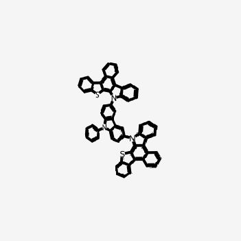 c1ccc(-n2c3ccc(-n4c5ccccc5c5c6ccccc6c6c7ccccc7sc6c54)cc3c3cc(-n4c5ccccc5c5c6ccccc6c6c7ccccc7sc6c54)ccc32)cc1